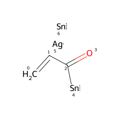 C=C[C](=O)[Sn].[Ag].[Sn]